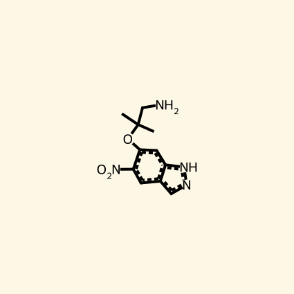 CC(C)(CN)Oc1cc2[nH]ncc2cc1[N+](=O)[O-]